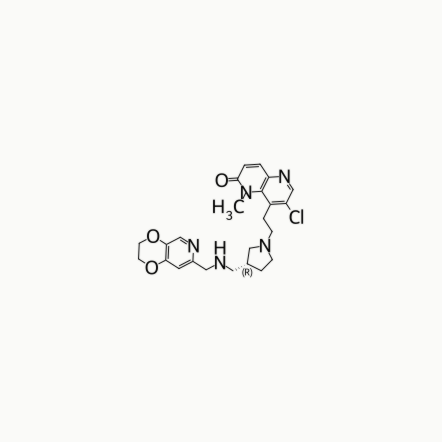 Cn1c(=O)ccc2ncc(Cl)c(CCN3CC[C@H](CNCc4cc5c(cn4)OCCO5)C3)c21